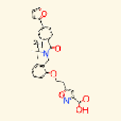 [2H]C(C)(C)N(Cc1ccccc1OCCc1cc(C(=O)O)no1)C(=O)c1ccc(-c2ccco2)cc1